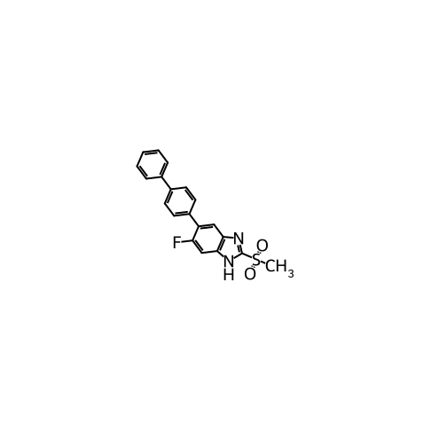 CS(=O)(=O)c1nc2cc(-c3ccc(-c4ccccc4)cc3)c(F)cc2[nH]1